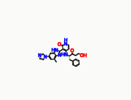 Cc1cc(-n2ccnc2)cc2[nH]c(-c3c(N[C@@H](Cc4ccccc4)C(=O)CCO)cc[nH]c3=O)nc12